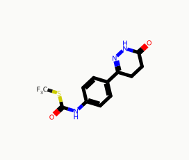 O=C1CCC(c2ccc(NC(=O)SC(F)(F)F)cc2)=NN1